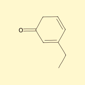 CCC1=CC(=O)CC=C1